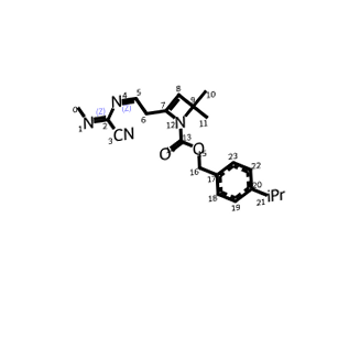 C/N=C(C#N)\N=C/CC1=CC(C)(C)N1C(=O)OCc1ccc(C(C)C)cc1